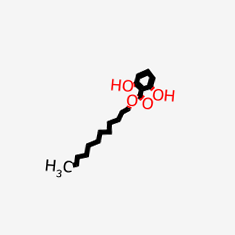 CCCCCCCCCCCCOC(=O)c1c(O)cccc1O